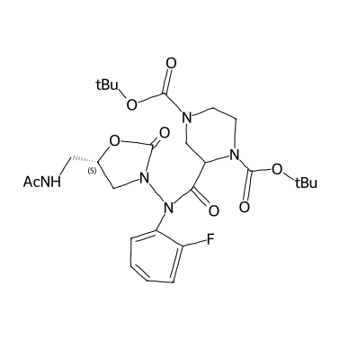 CC(=O)NC[C@H]1CN(N(C(=O)C2CN(C(=O)OC(C)(C)C)CCN2C(=O)OC(C)(C)C)c2ccccc2F)C(=O)O1